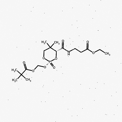 CCOC(=O)CCNC(=O)[C@@H]1O[P@](=O)(OCOC(=O)C(C)(C)C)OCC1(C)C